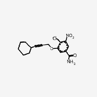 NC(=O)c1cc(OCC#CC2CCCCC2)c(Cl)c([N+](=O)[O-])c1